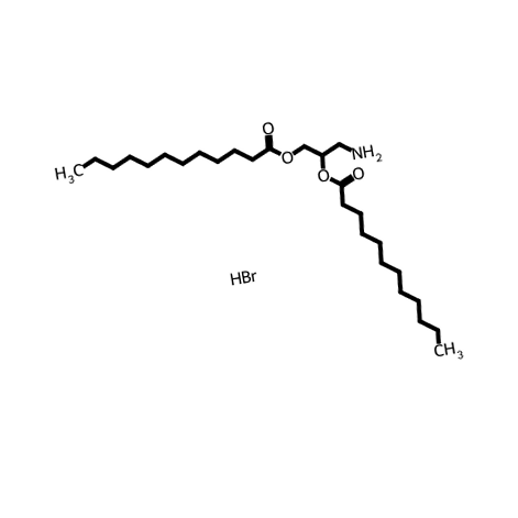 Br.CCCCCCCCCCCC(=O)OCC(CN)OC(=O)CCCCCCCCCCC